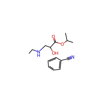 CCNCC(O)C(=O)OC(C)C.N#Cc1ccccc1